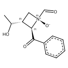 CC(O)[C@@H]1C[N@+]([O-])(C=O)[C@H]1C(=O)c1ccccc1